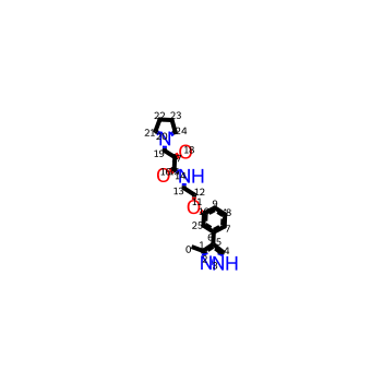 Cc1n[nH]cc1-c1c[c]cc(OCCNC(=O)C(=O)CN2CCCC2)c1